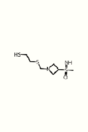 CS(=N)(=O)C1CN(CSCCS)C1